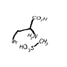 CC(C)CC(N)C(=O)O.CS(=O)(=O)O